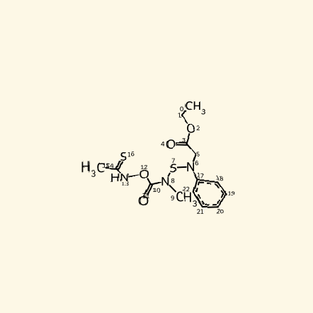 CCOC(=O)CN(SN(C)C(=O)ONC(C)=S)c1ccccc1